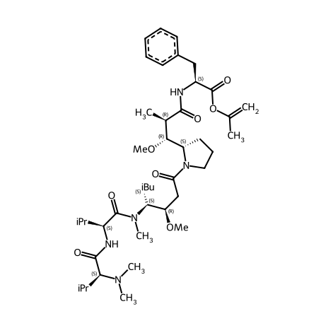 C=C(C)OC(=O)[C@H](Cc1ccccc1)NC(=O)[C@H](C)[C@@H](OC)[C@@H]1CCCN1C(=O)C[C@@H](OC)[C@H]([C@@H](C)CC)N(C)C(=O)[C@@H](NC(=O)[C@H](C(C)C)N(C)C)C(C)C